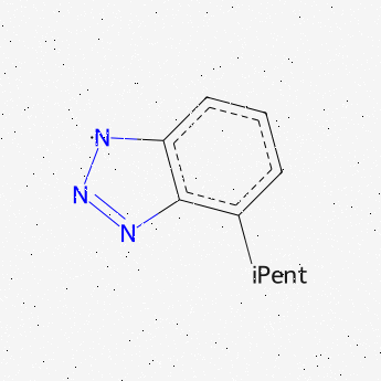 CCCC(C)c1cccc2c1N=N[N]2